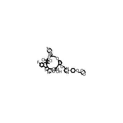 Cc1c(Cl)c2c(Cl)c(C)c1-c1c(-c3ccc(F)cc3)sc3ncnc(c13)O[C@@H](C(=O)O)Cc1cc(ccc1OCc1ccnc([C@H]3CC[C@@H](OCC4COCCO4)CC3)n1)OCC[C@@H](CN1CCN(C)CC1)O2